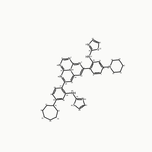 C1=NC2=NC(c3ccc(N4CCCCC4)cc3Nc3nccs3)=CC3=CC(c4ccc(C5CCCCCC5)cc4Nc4nccs4)=NC(=N1)N32